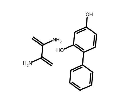 C=C(N)C(=C)N.Oc1ccc(-c2ccccc2)c(O)c1